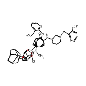 CN(c1ccc(Nc2ncccc2C(=O)O)cc1)c1ccc(C23CC4CC(C2)C(C2C5CC6CC2CC(c2ccc(NC7CCCN(Cc8ncccc8C(=O)O)C7)c(Cl)c2)(C6)C5)C(C4)C3)cc1Cl